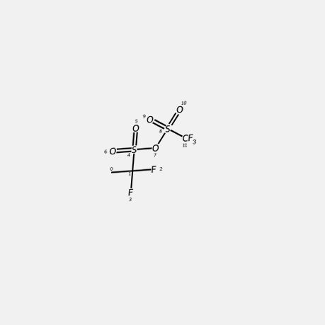 CC(F)(F)S(=O)(=O)OS(=O)(=O)C(F)(F)F